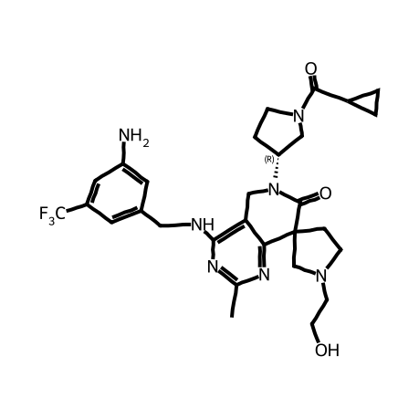 Cc1nc(NCc2cc(N)cc(C(F)(F)F)c2)c2c(n1)C1(CCN(CCO)C1)C(=O)N([C@@H]1CCN(C(=O)C3CC3)C1)C2